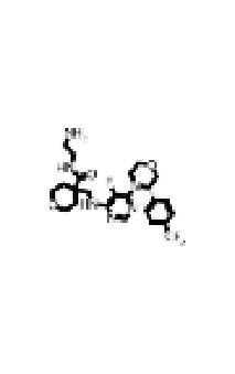 NCCNC(=O)C1(CNc2ncnc(N3CCOC[C@@H]3c3ccc(C(F)(F)F)cc3)c2F)CCOCC1